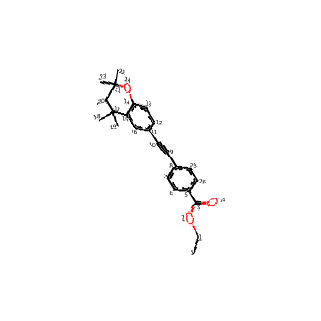 CCOC(=O)c1ccc(C#Cc2ccc3c(c2)C(C)(C)CC(C)(C)O3)cc1